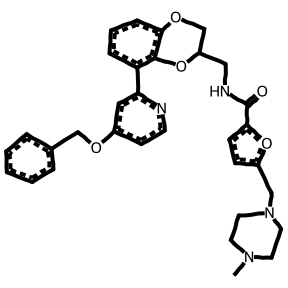 CN1CCN(Cc2ccc(C(=O)NCC3COc4cccc(-c5cc(OCc6ccccc6)ccn5)c4O3)o2)CC1